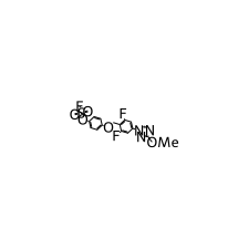 COc1ncn(-c2cc(F)c(COc3ccc(OS(=O)(=O)F)cc3)c(F)c2)n1